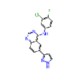 Fc1ccc(Nc2ncnc3ccc(-c4cc[nH]n4)cc23)cc1Cl